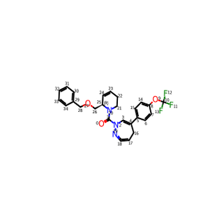 O=C(N1C=C(c2ccc(OC(F)(F)F)cc2)CC=C=N1)N1CCC=C[C@@H]1COCc1ccccc1